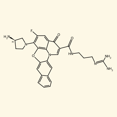 NC(N)=NCCCNC(=O)c1cn2c3c(c(N4CC[C@@H](N)C4)c(F)cc3c1=O)Oc1cc3ccccc3cc1-2